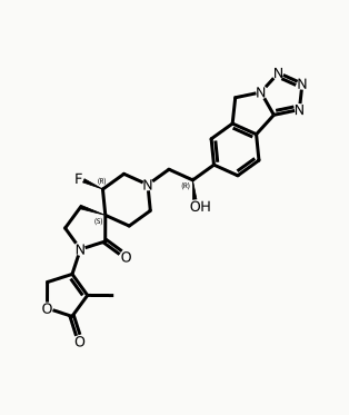 CC1=C(N2CC[C@@]3(CCN(C[C@H](O)c4ccc5c(c4)Cn4nnnc4-5)C[C@@H]3F)C2=O)COC1=O